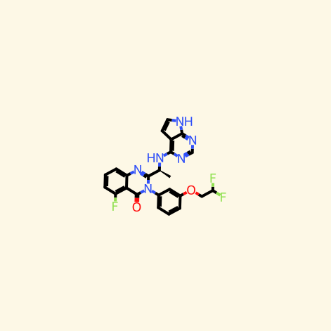 C[C@H](Nc1ncnc2[nH]ccc12)c1nc2cccc(F)c2c(=O)n1-c1cccc(OCC(F)F)c1